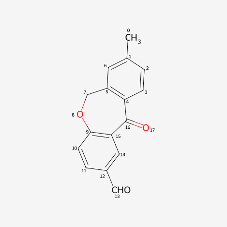 Cc1ccc2c(c1)COc1ccc(C=O)cc1C2=O